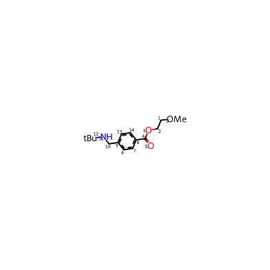 COCCOC(=O)c1ccc(CNC(C)(C)C)cc1